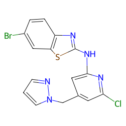 Clc1cc(Cn2cccn2)cc(Nc2nc3ccc(Br)cc3s2)n1